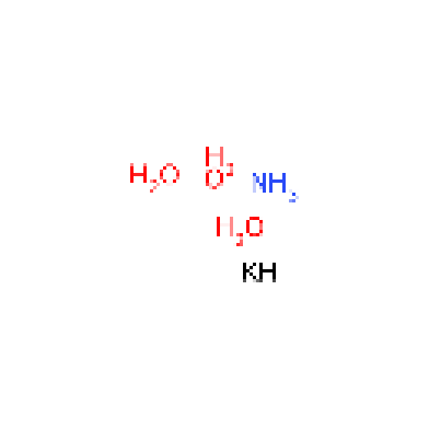 N.O.O.O.[KH]